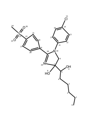 CCCCCC(O)C1(O)CN(c2ccc(Cl)cc2)C(c2ccc(S(C)(=O)=O)cc2)=N1